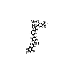 COc1cc(S(C)(=O)=O)ccc1Nc1nc2ccc(-c3ccc(NC(=O)Cc4ccc(F)cc4F)cc3)cn2n1